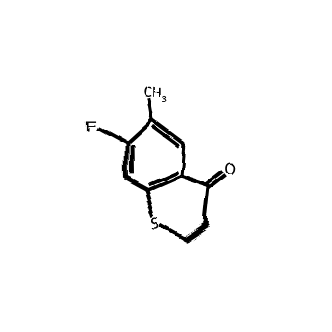 Cc1cc2c(cc1F)SCCC2=O